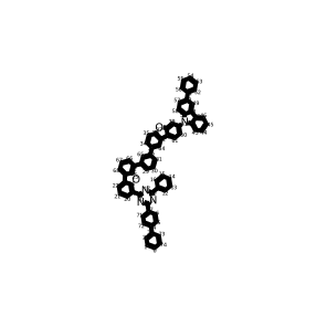 c1ccc(-c2ccc(-c3nc(-c4ccccc4)nc(-c4cccc5c4oc4c(-c6cccc(-c7ccc8oc9cc(-n%10c%11ccccc%11c%11cc(-c%12ccccc%12)ccc%11%10)ccc9c8c7)c6)cccc45)n3)cc2)cc1